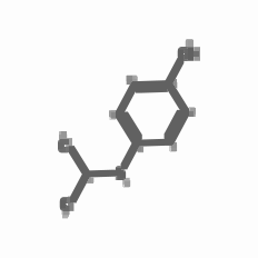 Oc1ccc(SC(Cl)Cl)cc1